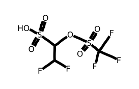 O=S(=O)(O)C(OS(=O)(=O)C(F)(F)F)C(F)F